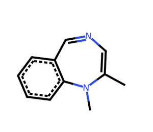 CC1=CN=Cc2ccccc2N1C